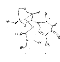 [2H]C[C@@]12CO[C@@H](C1OP(C)N(C(C)C)C(C)C)[C@H](n1cc(C)c(=O)[nH]c1=O)O2